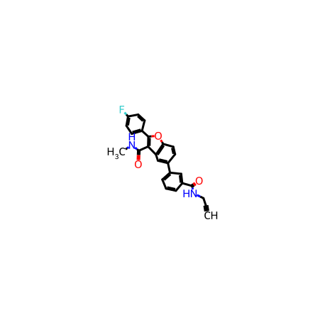 C#CCNC(=O)c1cccc(-c2ccc3oc(-c4ccc(F)cc4)c(C(=O)NC)c3c2)c1